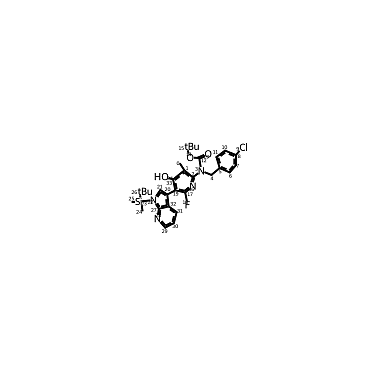 Cc1c(N(Cc2ccc(Cl)cc2)C(=O)OC(C)(C)C)nc(F)c(-c2cn([Si](C)(C)C(C)(C)C)c3ncccc23)c1O